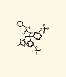 Cc1n[nH]c(CC(NC(=O)NC2CCCC2)(c2cccc(OC(F)(F)F)c2)c2cccc(OC(F)(F)F)c2)n1